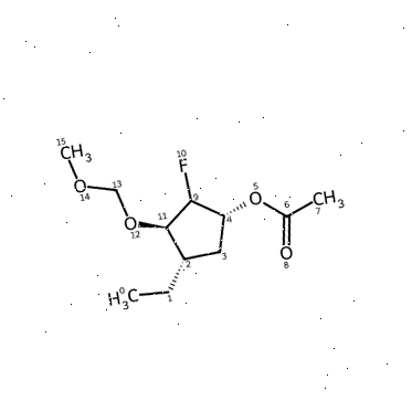 CC[C@H]1C[C@@H](OC(C)=O)C(F)[C@@H]1OCOC